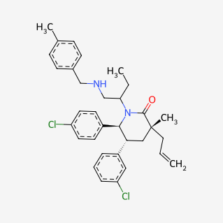 C=CC[C@]1(C)C[C@H](c2cccc(Cl)c2)[C@@H](c2ccc(Cl)cc2)N(C(CC)CNCc2ccc(C)cc2)C1=O